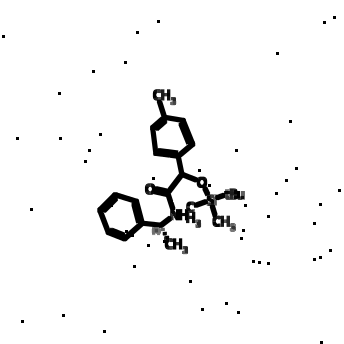 Cc1ccc(C(O[Si](C)(C)C(C)(C)C)C(=O)N[C@H](C)c2ccccc2)cc1